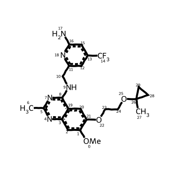 COc1cc2nc(C)nc(NCc3cc(C(F)(F)F)cc(N)n3)c2cc1OCCOC1(C)CC1